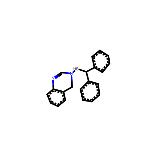 B(C(c1ccccc1)c1ccccc1)N1C=Nc2ccccc2C1